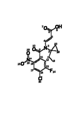 CCC1(N(C=CC(=O)O)C(=O)c2cc(F)c(Cl)cc2[N+](=O)[O-])CC1